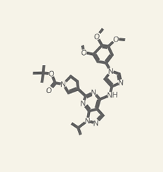 COc1cc(-n2cnc(Nc3nc(C4=CN(C(=O)OC(C)(C)C)CC4)nc4c3cnn4C(C)C)c2)cc(OC)c1OC